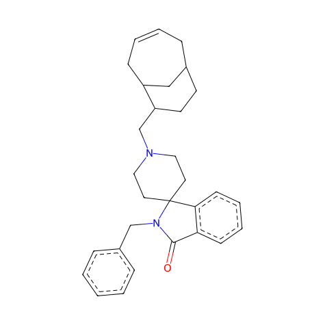 O=C1c2ccccc2C2(CCN(CC3CCC4CC=CCC3C4)CC2)N1Cc1ccccc1